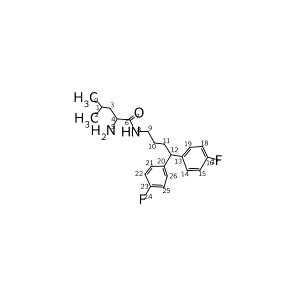 CC(C)CC(N)C(=O)NCCCC(c1ccc(F)cc1)c1ccc(F)cc1